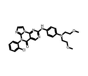 COCCN(CCOC)c1ccc(Nc2ncc3c(=O)n(-c4ccccc4Cl)c4nccn4c3n2)cc1